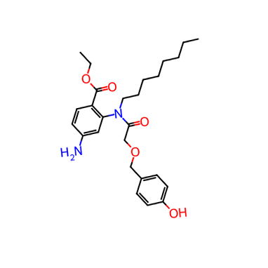 CCCCCCCCN(C(=O)COCc1ccc(O)cc1)c1cc(N)ccc1C(=O)OCC